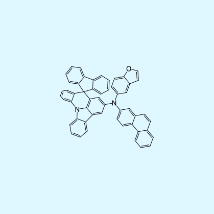 c1ccc2c(c1)-c1ccccc1C21c2ccccc2-n2c3ccccc3c3cc(N(c4ccc5occc5c4)c4ccc5c(ccc6ccccc65)c4)cc1c32